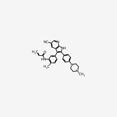 C=CC(=O)Nc1cc(-c2c(-c3ccc(N4CCN(C)CC4)cc3)[nH]c3ncc(C#N)cc23)ccc1C